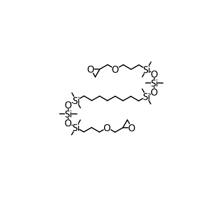 C[Si](C)(CCCCCCCC[Si](C)(C)O[Si](C)(C)O[Si](C)(C)CCCOCC1CO1)O[Si](C)(C)O[Si](C)(C)CCCOCC1CO1